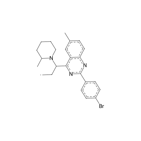 [CH2]CC(c1nc(-c2ccc(Br)cc2)nc2ccc(C)cc12)N1CCCCC1C